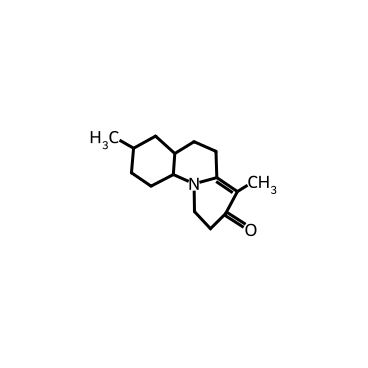 CC1=C2CCC3CC(C)CCC3N2CCC1=O